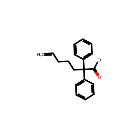 C=CCCCC(C(=O)CC)(c1ccccc1)c1ccccc1